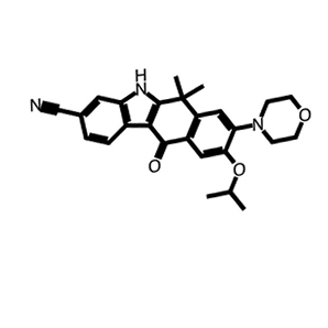 CC(C)Oc1cc2c(cc1N1CCOCC1)C(C)(C)c1[nH]c3cc(C#N)ccc3c1C2=O